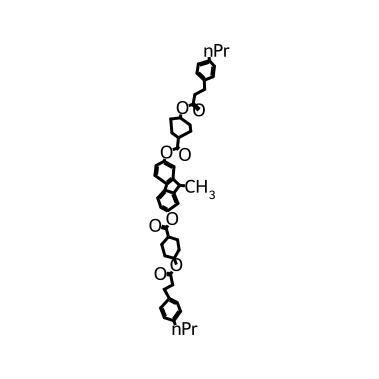 CCCc1ccc(CCC(=O)OC2CCC(C(=O)Oc3ccc4c(c3)C(C)c3cc(OC(=O)C5CCC(OC(=O)CCc6ccc(CCC)cc6)CC5)ccc3-4)CC2)cc1